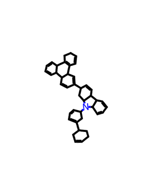 C1=CC2C3=C(C=CCC3)C3C=C(C4C=CC5C6C=CC=CC6N(C6C=CC=C(C7CC=CCC7)C6)C5C4)C=CC3C2C=C1